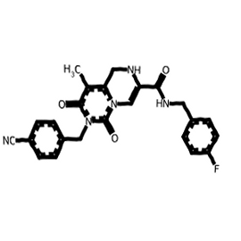 Cc1c2n(c(=O)n(Cc3ccc(C#N)cc3)c1=O)C=C(C(=O)NCc1ccc(F)cc1)NC2